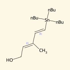 CCC[CH2][Sn](/[CH]=C/C(C)=C/CO)([CH2]CCC)[CH2]CCC